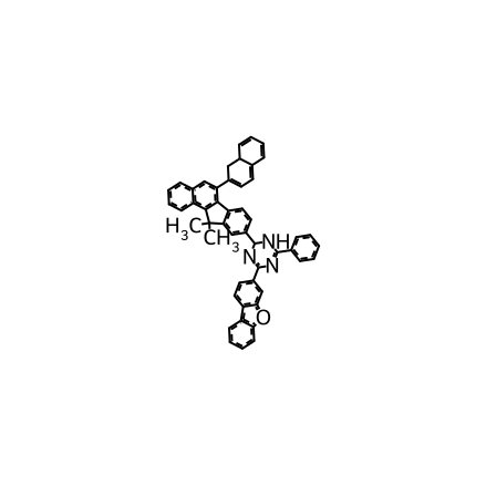 CC1(C)c2cc(C3N=C(c4ccc5c(c4)oc4ccccc45)N=C(c4ccccc4)N3)ccc2-c2c(C3=CC=C4C=CC=CC4C3)cc3ccccc3c21